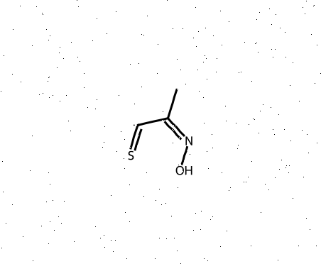 CC([C]=S)=NO